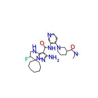 CN(C)C(=O)C1CCCN(c2ccncc2NC(=O)c2c(N)nn3c2NCC(F)C32CCCCCCC2)C1